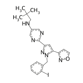 CC(C)(C)CNc1cnc(-c2cc(-c3ccon3)n(Cc3ccccc3I)n2)nc1